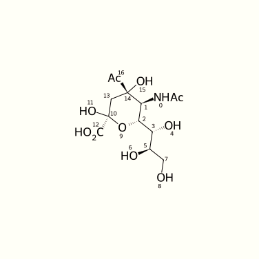 CC(=O)N[C@H]1[C@H]([C@H](O)[C@H](O)CO)O[C@](O)(C(=O)O)C[C@@]1(O)C(C)=O